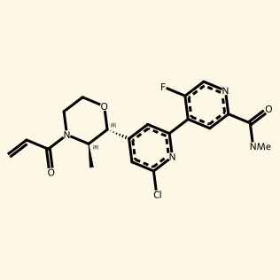 C=CC(=O)N1CCO[C@H](c2cc(Cl)nc(-c3cc(C(=O)NC)ncc3F)c2)[C@H]1C